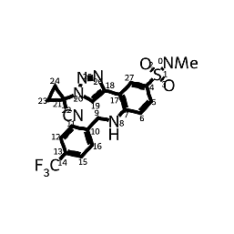 CNS(=O)(=O)c1ccc(NCc2ccc(C(F)(F)F)cc2)c(-c2cn(C3(C#N)CC3)nn2)c1